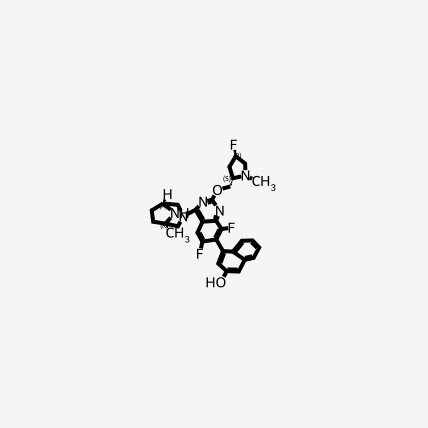 CN1C[C@H](F)C[C@H]1COc1nc(N2C[C@H]3CC[C@](C)(C2)N3)c2cc(F)c(-c3cc(O)cc4ccccc34)c(F)c2n1